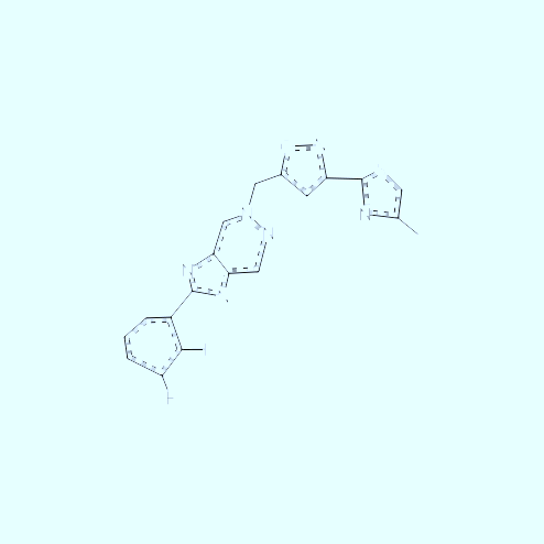 Cc1csc(-c2cc(Cn3cc4nc(-c5cccc(F)c5F)nc-4cn3)on2)n1